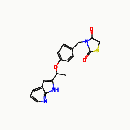 CC(Oc1ccc(CN2C(=O)CSC2=O)cc1)c1cc2cccnc2[nH]1